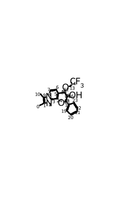 Cc1nc2c3c(ccn2c1C)[C@H](OCC(F)(F)F)[C@@H](O)[C@@H](c1ccccc1)O3